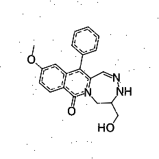 COc1ccc2c(=O)n3c(c(-c4ccccc4)c2c1)C=NNC(CO)C3